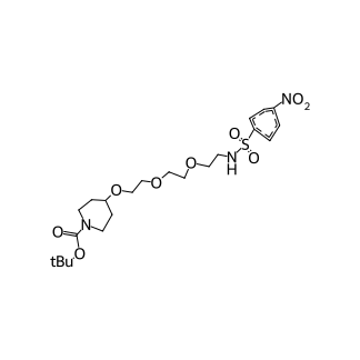 CC(C)(C)OC(=O)N1CCC(OCCOCCOCCNS(=O)(=O)c2ccc([N+](=O)[O-])cc2)CC1